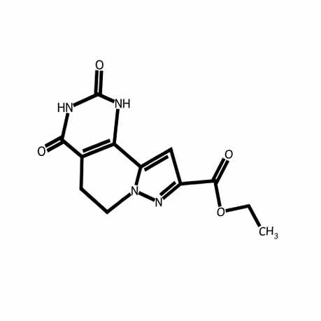 CCOC(=O)c1cc2n(n1)CCc1c-2[nH]c(=O)[nH]c1=O